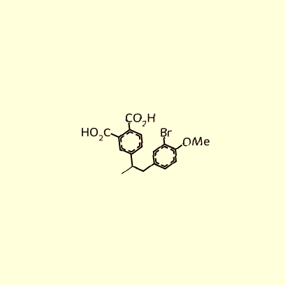 COc1ccc(CC(C)c2ccc(C(=O)O)c(C(=O)O)c2)cc1Br